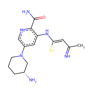 CC(=N)/C=C(\S)Nc1cc(N2CCC[C@@H](N)C2)cnc1C(N)=O